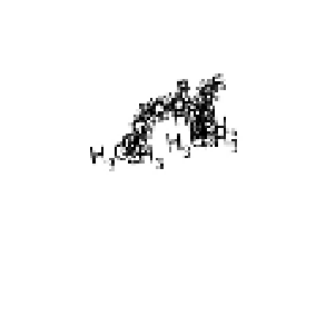 CC(C)OC(=O)N1CCC(Oc2ccc(-c3ccc(CC(NC(=O)OC(C)(C)C)C(=O)N4CC[C@H](F)C4)c(F)c3)cc2)CC1